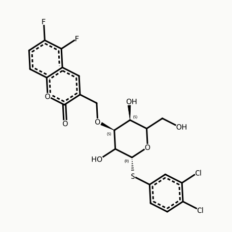 O=c1oc2ccc(F)c(F)c2cc1CO[C@@H]1C(O)[C@@H](Sc2ccc(Cl)c(Cl)c2)OC(CO)[C@@H]1O